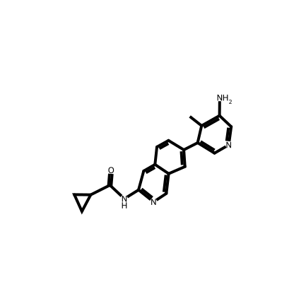 Cc1c(N)cncc1-c1ccc2cc(NC(=O)C3CC3)ncc2c1